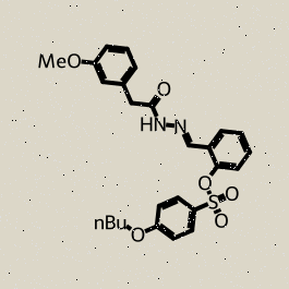 CCCCOc1ccc(S(=O)(=O)Oc2ccccc2C=NNC(=O)Cc2cccc(OC)c2)cc1